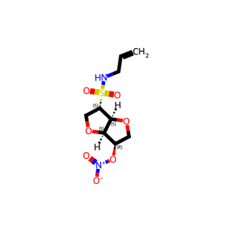 C=CCNS(=O)(=O)[C@H]1CO[C@H]2[C@@H]1OC[C@H]2O[N+](=O)[O-]